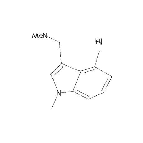 CNCc1cn(C)c2cccc(C)c12.I